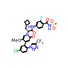 COc1cn([C@@H](CC2CCC2)C(=O)Nc2ccc(C(=O)NS(C)(=O)=O)c(F)c2)c(=O)cc1-c1cc(Cl)ccc1-n1cc(C(F)(F)F)nn1